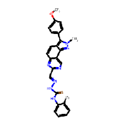 CC(C)c1ccccc1NC(=S)N/N=C/c1ncc2c(ccc3c(-c4ccc(OC(F)(F)F)cc4)n(C)nc32)n1